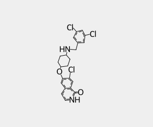 O=c1[nH]ccc2cc(OC3CCC(NCc4cc(Cl)cc(Cl)c4)CC3)c(Cl)cc12